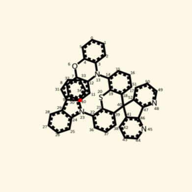 c1ccc2c(c1)Oc1ccccc1N2c1cccc2c1Sc1c(-n3c4ccccc4c4ccccc43)cccc1C21c2cccnc2-c2ncccc21